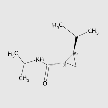 CC(C)NC(=O)[C@H]1C[C@@H]1C(C)C